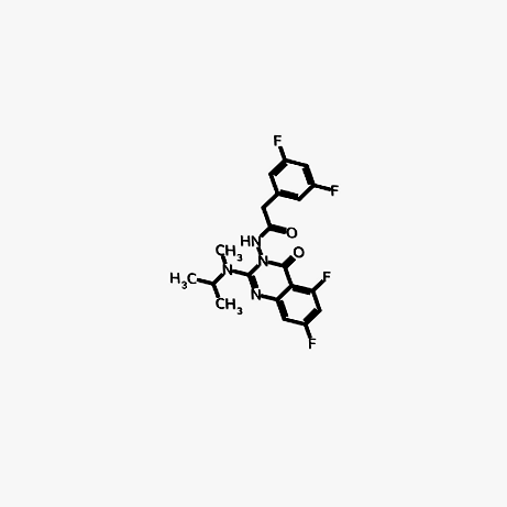 CC(C)N(C)c1nc2cc(F)cc(F)c2c(=O)n1NC(=O)Cc1cc(F)cc(F)c1